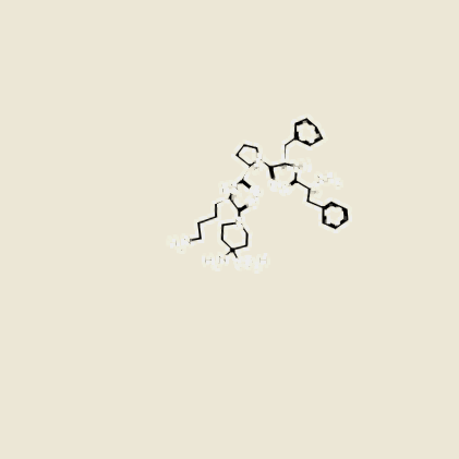 NCCCC[C@@H](NC(=O)[C@H]1CCCN1C(=O)[C@@H](Cc1ccccc1)NC(=O)[C@H](N)Cc1ccccc1)C(=O)N1CCC(N)(C(=O)O)CC1